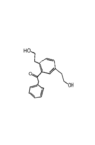 O=C(c1ccccc1)c1cc(CCO)ccc1CCO